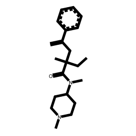 C=C(CC(C)(CC)C(=O)N(C)C1CCN(C)CC1)c1ccccc1